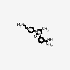 CC1CN(c2cccc(C(=N)N)c2)C(=O)N(C2CCN(CCN)CC2)C1